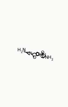 NCC1C2CN(C3COc4cc(-n5ccc(N)nc5=O)ccc4C3)CC12